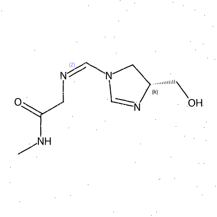 CNC(=O)C/N=C\N1C=N[C@@H](CO)C1